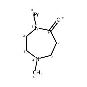 CC(C)N1CCN(C)CCC1=O